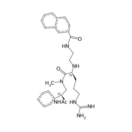 CC(=O)N[C@H](CN(C)C(=O)[C@H](CCCNC(=N)N)NCCNC(=O)c1ccc2ccccc2c1)c1ccccc1